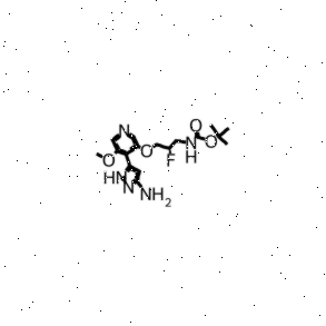 COc1cncc(OC[C@H](F)CNC(=O)OC(C)(C)C)c1-c1cc(N)n[nH]1